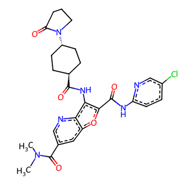 CN(C)C(=O)c1cnc2c(NC(=O)[C@H]3CC[C@H](N4CCCC4=O)CC3)c(C(=O)Nc3ccc(Cl)cn3)oc2c1